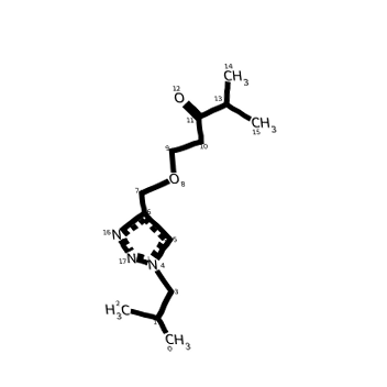 CC(C)Cn1cc(COCCC(=O)C(C)C)nn1